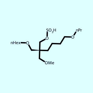 CCCCCCOC[C@@](CCCCOCCC)(COC)COS(=O)(=O)O